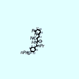 CCCOc1ccc(C(CCC)NC(=O)/C(C#N)=C/c2cccc(F)n2)cc1